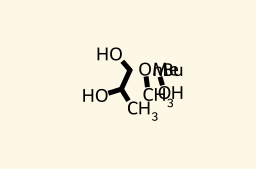 CC(O)CO.CCCCO.COC